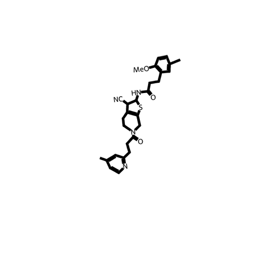 COc1ccc(C)cc1CCC(=O)NC1SC2=C(CCN(C(=O)CCc3cc(C)ccn3)C2)C1C#N